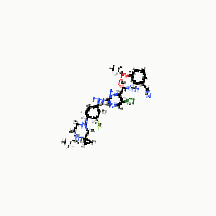 COc1cccc(C#N)c1NC(=O)c1nc(Nc2ccc(N3CCN(C)C4(CC4)C3)c(F)c2)ncc1Cl